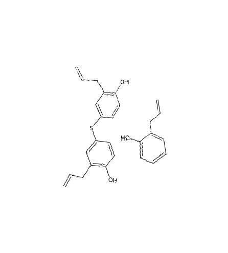 C=CCc1cc(Sc2ccc(O)c(CC=C)c2)ccc1O.C=CCc1ccccc1O